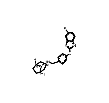 CC(=O)N1[C@@H]2CC[C@H]1C[C@@H](NCc1ccc(Oc3nc4ccc(F)cc4s3)cc1)C2